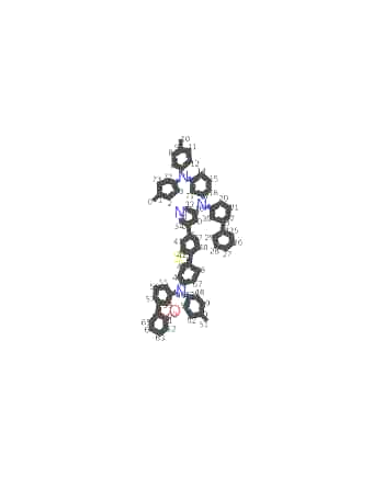 Cc1ccc(N(c2ccc(C)cc2)c2cccc(N(c3cccc(-c4ccccc4)c3)c3cncc(-c4ccc5c(c4)sc4cc(N(c6ccc(C)cc6)c6cccc7c6oc6ccccc67)ccc45)c3)c2)cc1